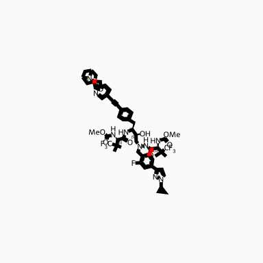 COC(=O)N[C@H](C(=O)N[C@@H](Cc1ccc(C#Cc2ccc(N3CC4CC(C3)N4C3COC3)nc2)cc1)[C@@H](O)CN(Cc1c(F)cc(-c2ccn(C3CC3)n2)cc1F)NC(=O)[C@@H](NC(=O)OC)C(C)(C)C(F)(F)F)C(C)(C)C(F)(F)F